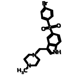 CN1CCN(Cc2c[nH]c3ccc(S(=O)(=O)c4ccc(Br)cc4)cc23)CC1